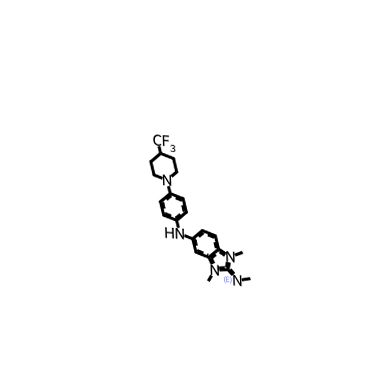 C/N=c1\n(C)c2ccc(Nc3ccc(N4CCC(C(F)(F)F)CC4)cc3)cc2n1C